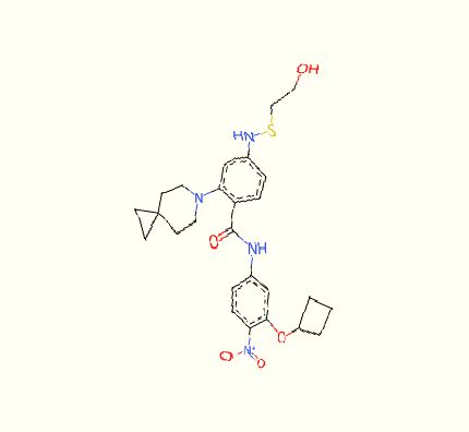 O=C(Nc1ccc([N+](=O)[O-])c(OC2CCC2)c1)c1ccc(NSCCO)cc1N1CCC2(CC1)CC2